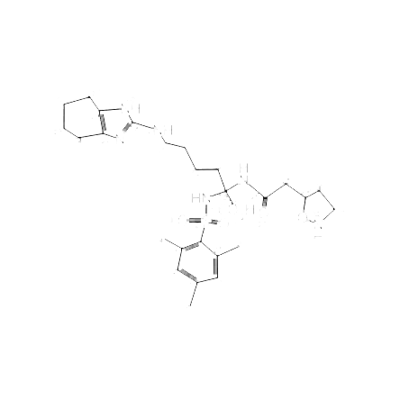 Cc1cc(C)c(S(=O)(=O)NC(CCCCNc2nc3c([nH]2)CCCC3)(NC(=O)CC2CCNO2)C(=O)O)c(C)c1